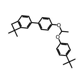 CC(Oc1ccc(-c2ccc3c(c2)C(C)(C)C3)cc1)Oc1ccc(C(C)(C)C)cc1